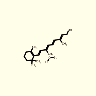 CC1=C(/C=C/C(C)=C/C=C/C(C)=C/CO)C(C)(C)CCC1.CCOCC